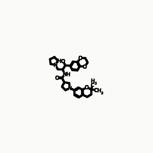 CC1(C)CCc2ccc(N3CCC(C(=O)NC(CN4CCCC4)C(O)c4ccc5c(c4)OCCO5)C3)cc2O1